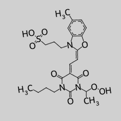 CCCCN1C(=O)C(=CC=C2Oc3ccc(C)cc3N2CCCS(=O)(=O)O)C(=O)N(C(C)OO)C1=O